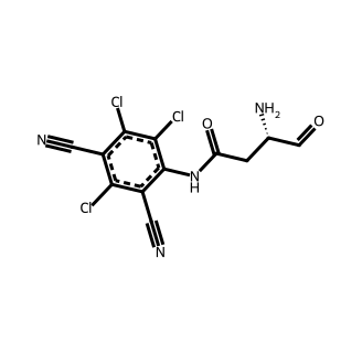 N#Cc1c(Cl)c(Cl)c(NC(=O)C[C@H](N)C=O)c(C#N)c1Cl